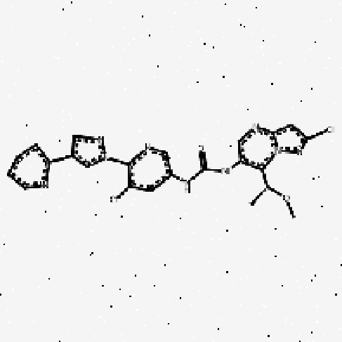 CO[C@@H](C)c1c(NC(=O)Nc2cnc(-n3cc(-c4ccccn4)cn3)c(Cl)c2)cnc2cc(Cl)nn12